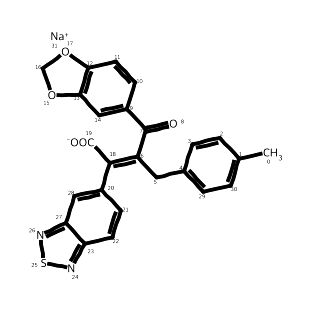 Cc1ccc(CC(C(=O)c2ccc3c(c2)OCO3)=C(C(=O)[O-])c2ccc3nsnc3c2)cc1.[Na+]